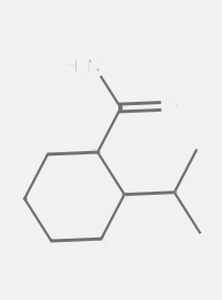 CC(C)C1CCCCC1C(N)=O